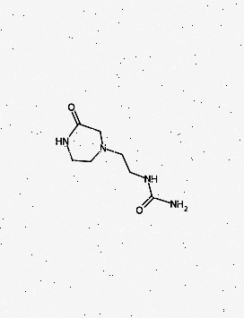 NC(=O)NCCN1CCNC(=O)C1